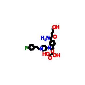 NC(C(=O)CCCO)c1ccc2ccn(C3CCN(CCc4ccc(F)cc4)CC3)c2c1.O=C(O)C(=O)O